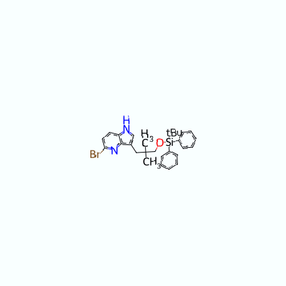 CC(C)(CO[Si](c1ccccc1)(c1ccccc1)C(C)(C)C)Cc1c[nH]c2ccc(Br)nc12